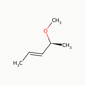 CC=C[C@H](C)OC